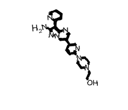 Nc1nn2cc(-c3ccc(N4CCN(CCO)CC4)nc3)cnc2c1-c1ccccn1